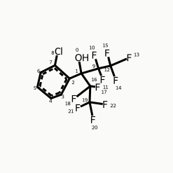 OC(c1ccccc1Cl)(C(F)(F)C(F)(F)F)C(F)(F)C(F)(F)F